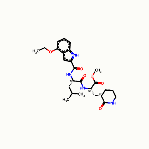 CCOc1cccc2[nH]c(C(=O)N[C@@H](CC(C)C)C(=O)N[C@@H](C[C@@H]3CCCNC3=O)C(=O)OC)cc12